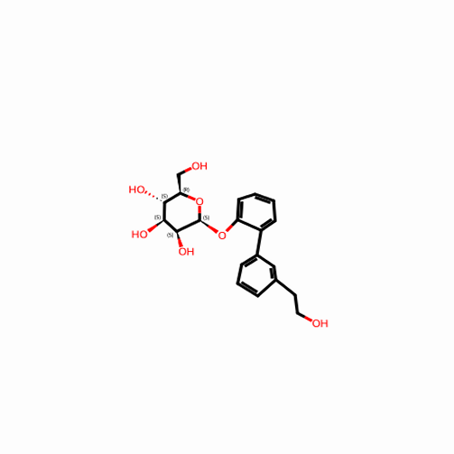 OCCc1cccc(-c2ccccc2O[C@@H]2O[C@H](CO)[C@@H](O)[C@H](O)[C@@H]2O)c1